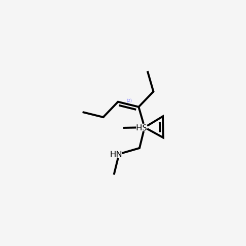 CC/C=C(/CC)[SH]1(C)(CNC)C=C1